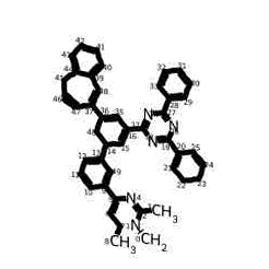 C=N/C(C)=N\C(=C/CC)c1cccc(C2C=C(c3nc(C4=CCCC=C4)nc(-c4ccccc4)n3)C=C(C3=Cc4ccccc4CC#C3)C2)c1